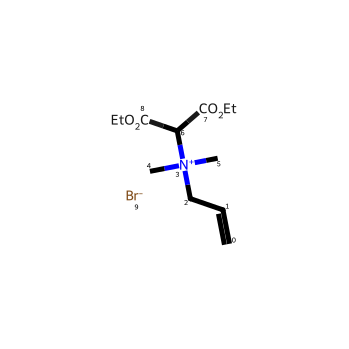 C=CC[N+](C)(C)C(C(=O)OCC)C(=O)OCC.[Br-]